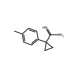 Cc1ccc(C2(C(=N)N)CC2)cc1